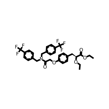 CCOC(=O)[C@H](Cc1ccc(OCC(=O)N(Cc2ccc(C(F)(F)F)cc2)Cc2ccc(C(F)(F)F)cc2)cc1)OCC